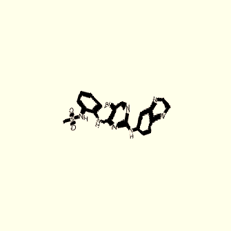 CS(=O)(=O)Nc1ccccc1Nc1nc(Nc2ccc3nccnc3c2)ncc1Br